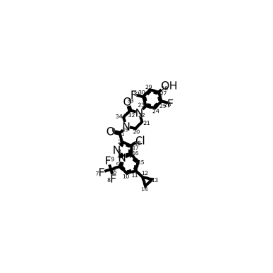 O=C(c1nn2c(C(F)(F)F)cc(C3CC3)cc2c1Cl)N1CCN(c2cc(F)c(O)cc2F)C(=O)C1